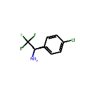 NC(c1ccc(Cl)cc1)C(F)(F)F